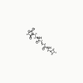 O=C(CSCC(=O)NCC1CCC1)NCCN1C(=O)COC1=O